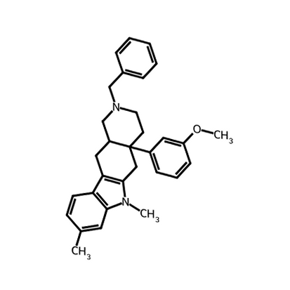 COc1cccc(C23CCN(Cc4ccccc4)CC2Cc2c(n(C)c4cc(C)ccc24)C3)c1